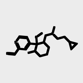 COC1(c2ccnc(C=O)c2)C(C)CCCC1CN(C)CCC1CC1